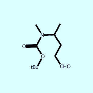 CC(CCC=O)N(C)C(=O)OC(C)(C)C